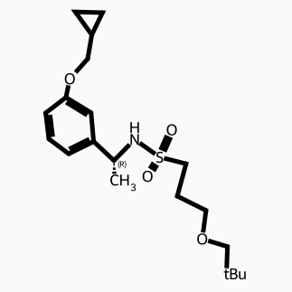 C[C@@H](NS(=O)(=O)CCCOCC(C)(C)C)c1cccc(OCC2CC2)c1